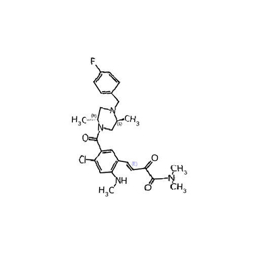 CNc1cc(Cl)c(C(=O)N2C[C@H](C)N(Cc3ccc(F)cc3)C[C@H]2C)cc1/C=C/C(=O)C(=O)N(C)C